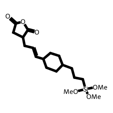 CO[Si](CCCC1CCC(/C=C/CC2CC(=O)OC2=O)CC1)(OC)OC